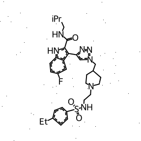 CCc1ccc(S(=O)(=O)NCCN2CCC(Cn3cc(-c4c(C(=O)NCC(C)C)[nH]c5ccc(F)cc45)nn3)CC2)cc1